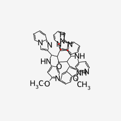 COc1cc(NC(c2cn3ccccc3n2)C(C(=O)C(c2c[nH]c3ccccc23)C(Nc2ccnc(OC)c2)c2cn3ccccc3n2)c2c[nH]c3ccccc23)ccn1